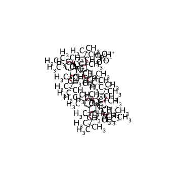 CC(C)(C)c1ccc([N+](c2ccc(C(C)(C)C)cc2C(C)(C)C)(c2ccc(C(C)(C)C)cc2C(C)(C)C)c2ccc(C(C)(C)C)cc2C(C)(C)C)c(C(C)(C)C)c1.CC(C)(C)c1ccc([N+](c2ccc(C(C)(C)C)cc2C(C)(C)C)(c2ccc(C(C)(C)C)cc2C(C)(C)C)c2ccc(C(C)(C)C)cc2C(C)(C)C)c(C(C)(C)C)c1.O=P([O-])([O-])[O-].[H+]